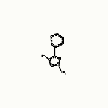 CC(C)c1cn(C)nc1-c1ccccc1